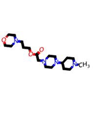 CN1CCC(N2CCN(CC(=O)OCCCN3CCOCC3)CC2)CC1